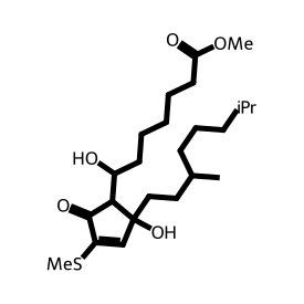 COC(=O)CCCCCC(O)C1C(=O)C(SC)=CC1(O)CCC(C)CCCC(C)C